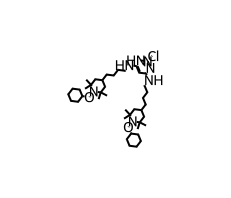 CC1(C)CC(CCCCNC2=CC(NCCCCC3CC(C)(C)N(OC4CCCCC4)C(C)(C)C3)=NN(Cl)N2)CC(C)(C)N1OC1CCCCC1